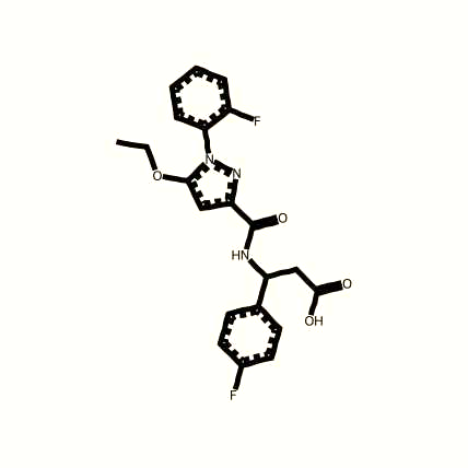 CCOc1cc(C(=O)NC(CC(=O)O)c2ccc(F)cc2)nn1-c1ccccc1F